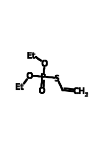 C=CSP(=O)(OCC)OCC